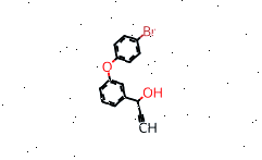 C#CC(O)c1cccc(Oc2ccc(Br)cc2)c1